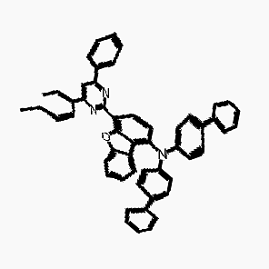 C/C=C(\C=C/CC)c1cc(-c2ccccc2)nc(-c2ccc(N(c3ccc(-c4ccccc4)cc3)c3ccc(-c4ccccc4)cc3)c3c2oc2ccccc23)n1